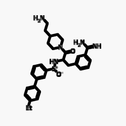 CCc1ccc(-c2cccc([S+]([O-])NC(Cc3cccc(C(=N)N)c3)C(=O)N3CCC(CCN)CC3)c2)cc1